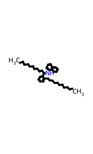 CCCCCCCCCCCCc1ccccc1C(CCCCCCCCCCC)Nc1cccc2ccccc12